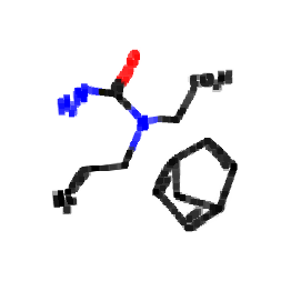 C1=CC2=CC=C1C2.C=CCN(CC(=O)O)C(N)=O